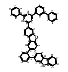 c1ccc(-c2cccc(-c3nc(-c4ccccc4)nc(-c4ccc5c(c4)oc4ccc(-c6ccccc6-c6ccc7c(c6)sc6ccccc67)cc45)n3)c2)cc1